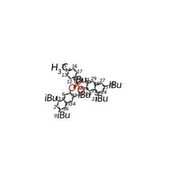 CCC(C)c1cc(C(C)CC)c2cc(OP(Oc3ccc(C)cc3)Oc3cc4c(C(C)CC)cc(C(C)CC)cc4cc3C(C)CC)c(C(C)CC)cc2c1